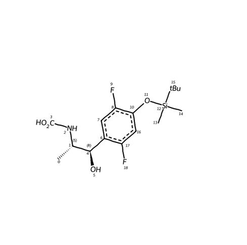 C[C@H](NC(=O)O)[C@H](O)c1cc(F)c(O[Si](C)(C)C(C)(C)C)cc1F